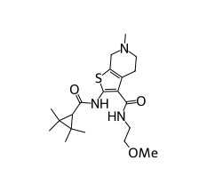 COCCNC(=O)c1c(NC(=O)C2C(C)(C)C2(C)C)sc2c1CCN(C)C2